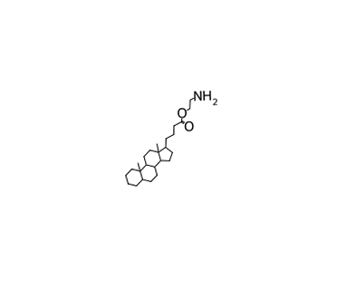 CC12CCCCC1CCC1C2CCC2(C)C(CCCC(=O)OCCN)CCC12